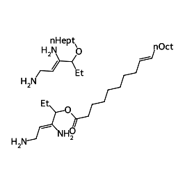 CCCCCCCCC=CCCCCCCCC(=O)OC(CC)C(N)=CCN.CCCCCCCOC(CC)C(N)=CCN